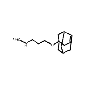 O=CNCCCOC12CC3=CC(CC(C3)C1)C2